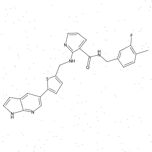 Cc1ccc(CNC(=O)c2cccnc2NCc2ccc(-c3cnc4[nH]ccc4c3)s2)cc1F